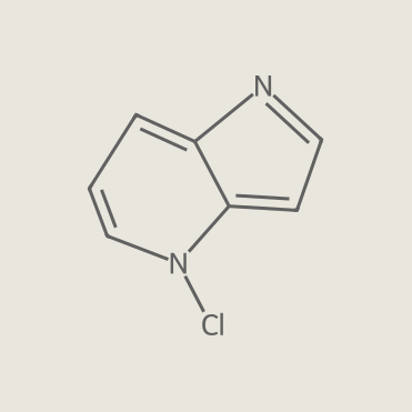 Cln1cccc2nccc1-2